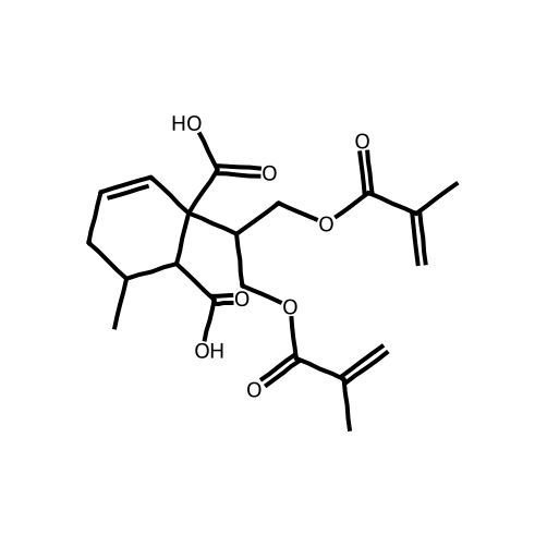 C=C(C)C(=O)OCC(COC(=O)C(=C)C)C1(C(=O)O)C=CCC(C)C1C(=O)O